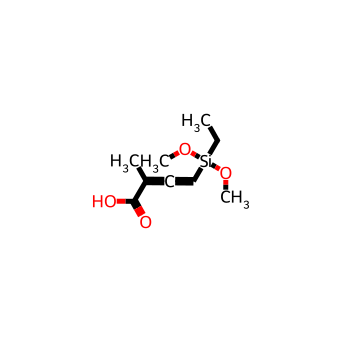 CC[Si](C=C=C(C)C(=O)O)(OC)OC